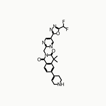 CC1(C)C(=O)N(Cc2ncc(-c3nnc(C(F)F)o3)cn2)C(=O)c2ccc(C3=CCNCC3)cc21